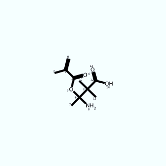 C=C(C)C(=O)OC(C)(N)C(C)(C)C(=O)O